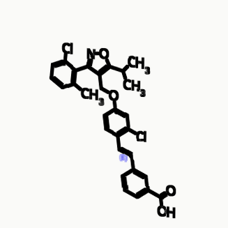 Cc1cccc(Cl)c1-c1noc(C(C)C)c1COc1ccc(/C=C/c2cccc(C(=O)O)c2)c(Cl)c1